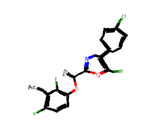 CCC(Oc1ccc(F)c(C(C)=O)c1F)c1nc(-c2ccc(Cl)cc2)c(Br)o1